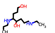 CCCNC(CCCO)C(O)CCCNCC